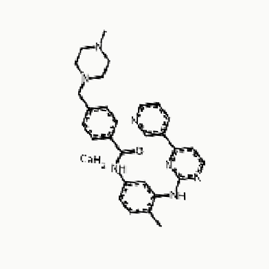 Cc1ccc(NC(=O)c2ccc(CN3CCN(C)CC3)cc2)cc1Nc1nccc(-c2cccnc2)n1.[CaH2]